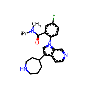 CC(C)N(C)C(=O)c1cc(F)ccc1-n1cc(C2CCCNCC2)c2ccncc21